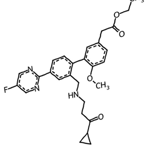 CCOC(=O)Cc1ccc(OC)c(-c2ccc(-c3ncc(F)cn3)cc2CNCCC(=O)C2CC2)c1